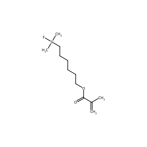 C=C(C)C(=O)OCCCCCC[Si](C)(C)F